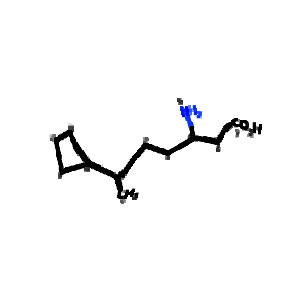 CC(CCC(N)CC(=O)O)C1CCC1